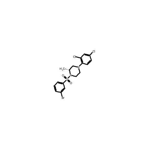 C[C@@H]1CN(c2ccc(Cl)cc2Cl)CCN1S(=O)(=O)c1cccc(Br)c1